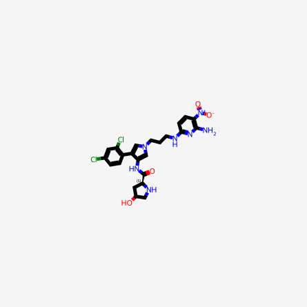 Nc1nc(NCCCn2cc(NC(=O)[C@@H]3CC(O)CN3)c(-c3ccc(Cl)cc3Cl)c2)ccc1[N+](=O)[O-]